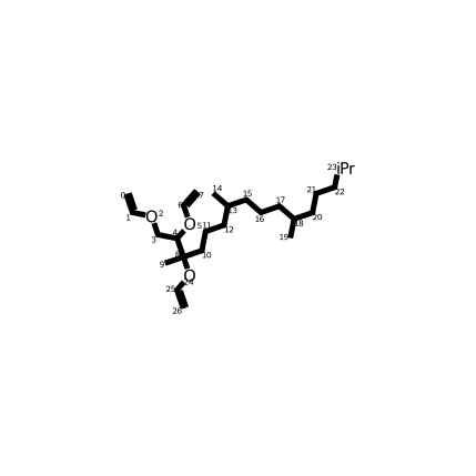 C=COCC(OC=C)C(C)(CCCC(C)CCCC(C)CCCC(C)C)OC=C